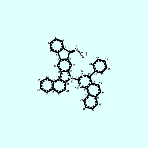 O/N=C1/c2ccccc2-c2cc3c4c5ccccc5ccc4n(-c4nc(-c5ccccc5)c5ccc6ccccc6c5n4)c3cc21